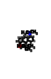 CN(C)c1cccc2c([Si](C)(C)C)c3c(cc12)CCC3=O